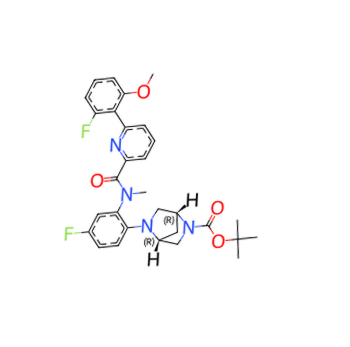 COc1cccc(F)c1-c1cccc(C(=O)N(C)c2cc(F)ccc2N2C[C@H]3C[C@@H]2CN3C(=O)OC(C)(C)C)n1